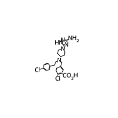 Nc1n[nH]c(N2CCC(N(CCc3ccc(Cl)cc3)Cc3ccc(Cl)c(C(=O)O)c3)CC2)n1